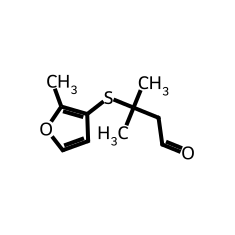 Cc1occc1SC(C)(C)CC=O